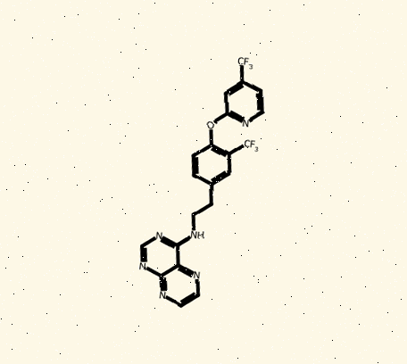 FC(F)(F)c1ccnc(Oc2ccc(CCNc3ncnc4nccnc34)cc2C(F)(F)F)c1